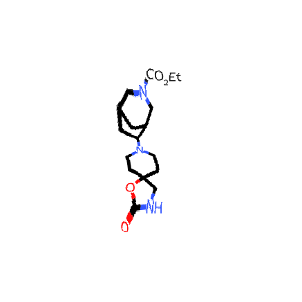 CCOC(=O)N1CC2CC(C1)C(N1CCC3(CC1)CNC(=O)O3)C2